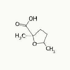 CC1CC[C@](C)(C(=O)O)O1